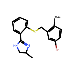 COc1ccc(Br)cc1CSc1ccccc1C1=NC(C)CN1